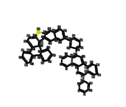 c1ccc(-c2cc3c4ccccc4c(-c4cccc(-c5ccc6cc7sc8ccc9c%10ccccc%10c%10ccccc%10c9c8c7cc6c5)c4)cc3c3ccccc23)cc1